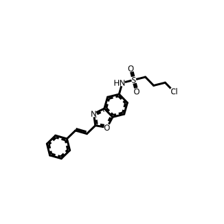 O=S(=O)(CCCCl)Nc1ccc2oc(C=Cc3ccccc3)nc2c1